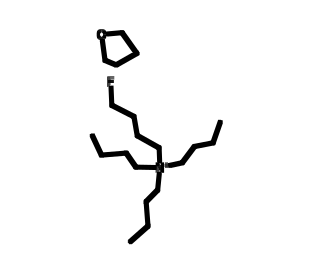 C1CCOC1.CCCC[N+](CCCC)(CCCC)CCCCF